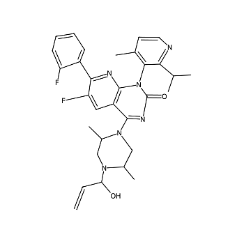 C=CC(O)N1CC(C)N(c2nc(=O)n(-c3c(C)ccnc3C(C)C)c3nc(-c4ccccc4F)c(F)cc23)CC1C